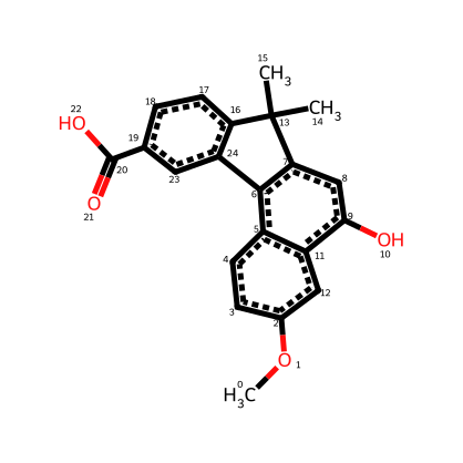 COc1ccc2c3c(cc(O)c2c1)C(C)(C)c1ccc(C(=O)O)cc1-3